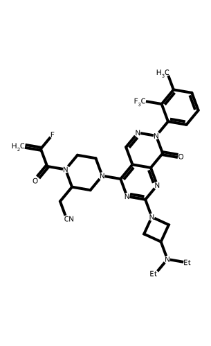 C=C(F)C(=O)N1CCN(c2nc(N3CC(N(CC)CC)C3)nc3c(=O)n(-c4cccc(C)c4C(F)(F)F)ncc23)CC1CC#N